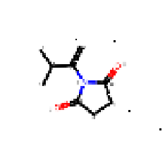 C=C(C(C)C)N1C(=O)CCC1=O